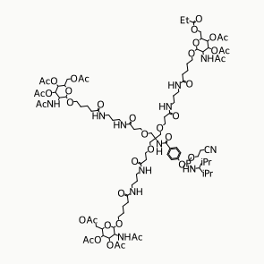 CCC(=O)OCC1OC(OCCCCC(=O)NCCCNC(=O)CCOCC(COCCC(=O)NCCCNC(=O)CCCCOC2OC(COC(C)=O)C(OC(C)=O)C(OC(C)=O)C2NC(C)=O)(COCCC(=O)NCCCNC(=O)CCCCOC2OC(COC(C)=O)C(OC(C)=O)C(OC(C)=O)C2NC(C)=O)NC(=O)c2ccc(OP(NC(C(C)C)C(C)C)OCCC#N)cc2)C(NC(C)=O)C(OC(C)=O)C1OC(C)=O